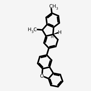 Cc1ccc2c(c1)C(C)C1=CC(c3ccc4oc5ccccc5c4c3)=CC[C@H]12